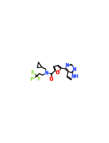 O=C(c1ccc(-c2ncnc3[nH]ccc23)o1)N(CCC(F)(F)F)CC1CC1